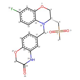 CS(=O)(=O)C[C@H]1COc2cc(F)ccc2N1Cc1ccc2c(c1)NC(=O)CO2